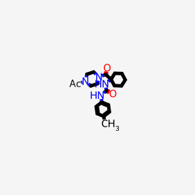 CC(=O)N1CCN(C(=O)C2(NC(=O)Nc3ccc(C)cc3)CCCCC2)CC1